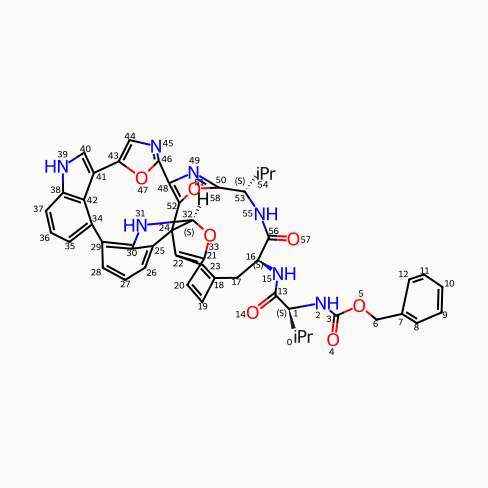 CC(C)[C@H](NC(=O)OCc1ccccc1)C(=O)N[C@H]1Cc2ccc3c(c2)C24c5cccc(c5N[C@H]2O3)-c2cccc3[nH]cc(c23)-c2cnc(o2)-c2nc(oc24)[C@H](C(C)C)NC1=O